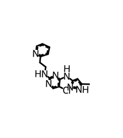 Cc1cc(Nc2nc(NCCc3ccccn3)ncc2Cl)n[nH]1